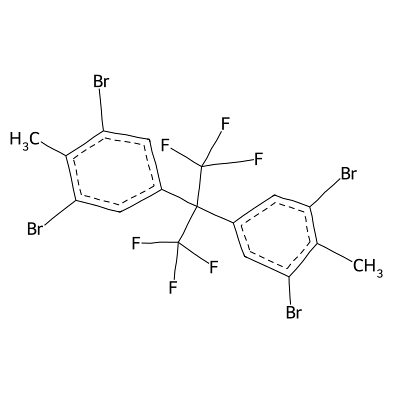 Cc1c(Br)cc(C(c2cc(Br)c(C)c(Br)c2)(C(F)(F)F)C(F)(F)F)cc1Br